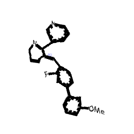 COc1cccc(-c2ccc(/C=C3\CCCN=C3c3cccnc3)c(F)c2)c1